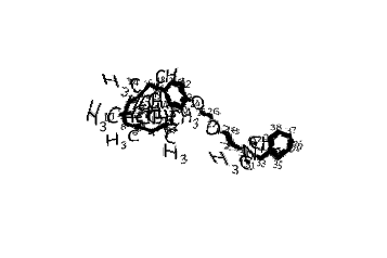 CC(C)(C)CC(C)(C)CC(C)(C)CC(C)(C)CC(C)(C)c1ccc(OCCOCC[N+](C)(C)Cc2ccccc2)cc1